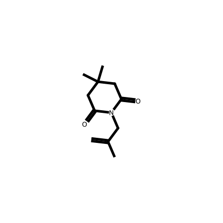 C=C(C)CN1C(=O)CC(C)(C)CC1=O